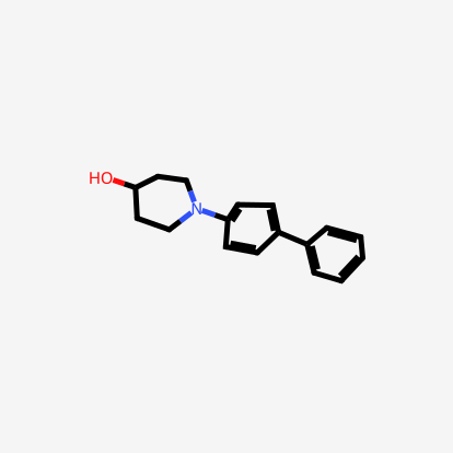 OC1CCN(c2ccc(-c3ccccc3)cc2)CC1